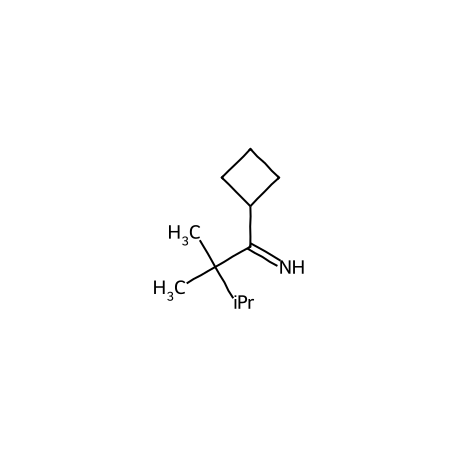 CC(C)C(C)(C)C(=N)C1CCC1